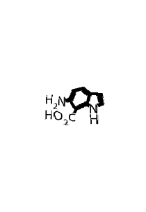 Nc1ccc2cc[nH]c2c1C(=O)O